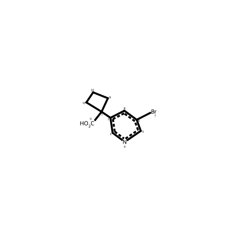 O=C(O)C1(c2cncc(Br)c2)CCC1